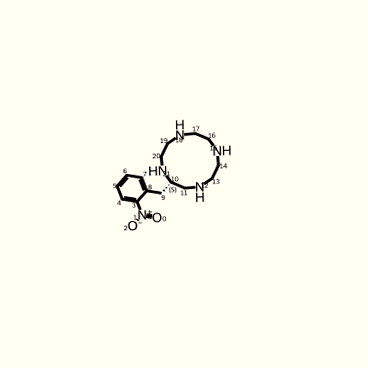 O=[N+]([O-])c1ccccc1C[C@H]1CNCCNCCNCCN1